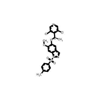 COc1cc2c(cnn2S(=O)(=O)c2ccc(C)cc2)cc1O[C@H](C)c1c(Cl)cncc1Cl